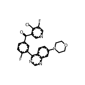 O=C(c1ccc(F)c(-c2ncnc3cc(N4CCOCC4)ccc23)c1)c1cncc(F)c1Cl